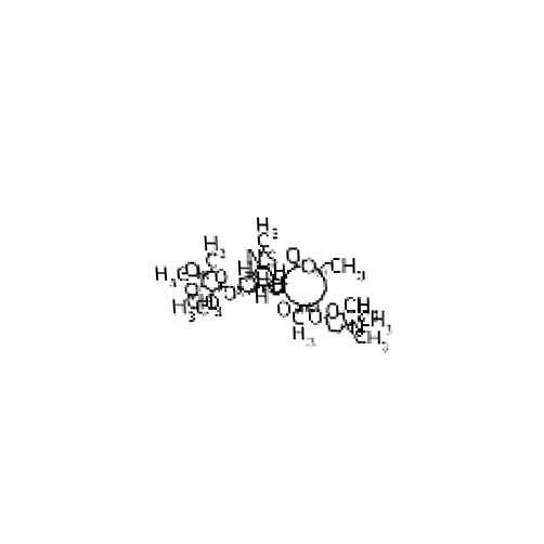 CC[C@H]1CCC[C@H](O[C@H]2CC[C@H](N(C)C)C(C)O2)[C@@H](C)C(=O)C2=C[C@H]3[C@@H]4C[C@H](O[C@@H]5OC(C)[C@H](OC)C(OC)C5OC)C[C@H]4c4nc(C)sc4[C@H]3[C@@H]2CC(=O)O1